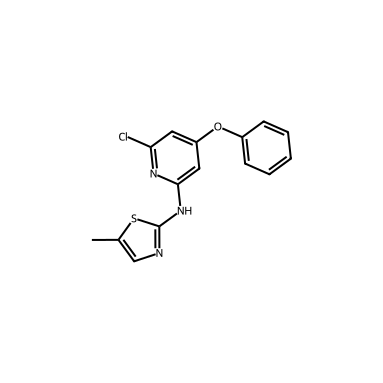 Cc1cnc(Nc2cc(Oc3ccccc3)cc(Cl)n2)s1